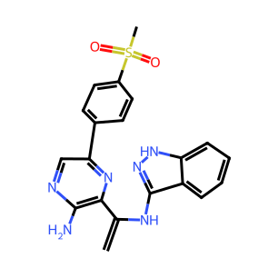 C=C(Nc1n[nH]c2ccccc12)c1nc(-c2ccc(S(C)(=O)=O)cc2)cnc1N